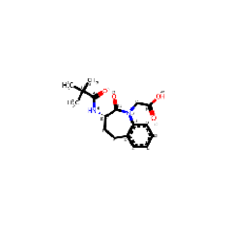 CC(C)(C)C(=O)N[C@H]1CCc2ccccc2N(CC(=O)O)C1=O